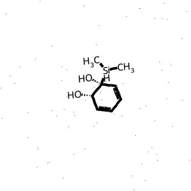 C[SiH](C)[C@@]1(O)C=CC=C[C@@H]1O